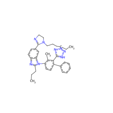 CCCCCCN1CCN=C1c1ccc2nc(CCC)n(-c3ccc(-c4ccccc4)c(-c4nnn[nH]4)c3C)c2c1